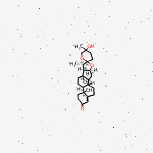 C[C@H]1[C@H]2[C@H](C[C@H]3[C@@H]4CCC5=CC(=O)CC[C@]5(C)[C@H]4CC[C@]23C)O[C@]12CCC(C)(O)CO2